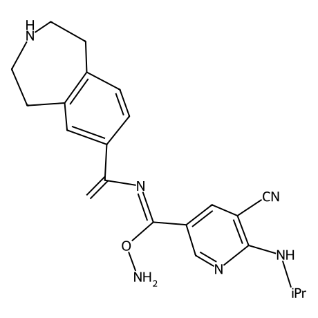 C=C(/N=C(\ON)c1cnc(NC(C)C)c(C#N)c1)c1ccc2c(c1)CCNCC2